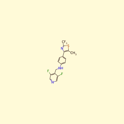 Cc1sc(C(F)(F)F)nc1-c1ccc(NCc2c(F)cncc2F)cc1